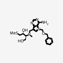 CSC[C@H](O)[C@H](CO)N(C)Cc1cn(COCc2ccccc2)c2c(N)ncnc12